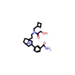 NC(=O)c1cccc(C2CC3CCC(CCN(CC4CCC4)C(=O)CO)(C2)N3)c1